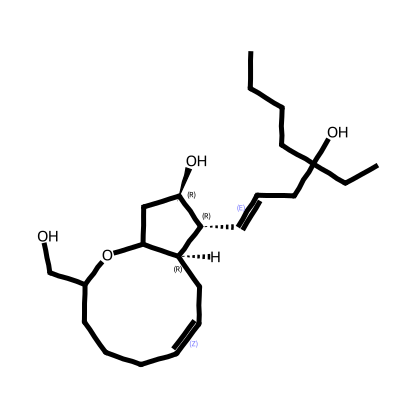 CCCCC(O)(CC)C/C=C/[C@H]1[C@H](O)CC2OC(CO)CCC/C=C\C[C@@H]21